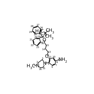 CN1CCN(c2ccc(N)cc2OCCCCO[Si](c2ccccc2)(c2ccccc2)C(C)(C)C)CC1